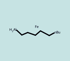 CCCCCCCC[CH2][AlH2].[Fe]